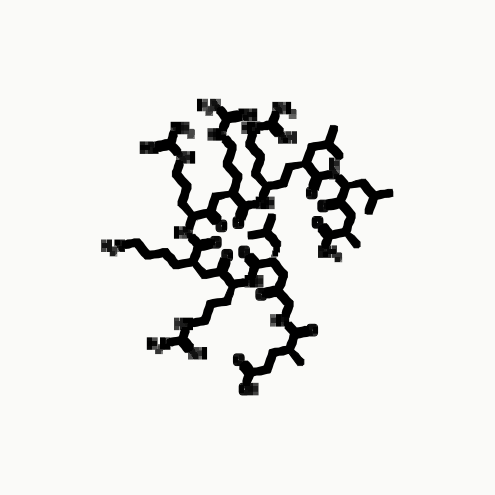 CC(C)C[C@H](CC(=O)CNC(=O)[C@@H](C)CCC(=O)O)C(=O)N[C@@H](CCCNC(=N)N)C(=O)C[C@@H](CCCCN)C(=O)N[C@@H](CCCNC(=N)N)C(=O)C[C@@H](CCCNC(=N)N)C(=O)N[C@@H](CCCNC(=N)N)CC[C@@H](CC(C)C)C(=O)N[C@@H](CC(C)C)C(=O)C[C@@H](C)C(N)=O